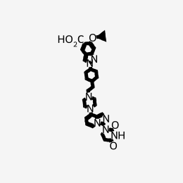 O=C1CCN(c2ncc3c(N4CCN(CCC5CCC(n6cc7cc(C(=O)O)c(OC8CC8)cc7n6)CC5)CC4)cccn23)C(=O)N1